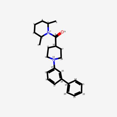 CC1CCCC(C)N1C(=O)C1CCN(c2cccc(-c3ccccc3)c2)CC1